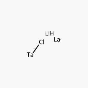 [Cl][Ta].[La].[LiH]